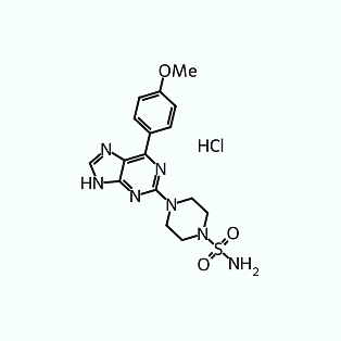 COc1ccc(-c2nc(N3CCN(S(N)(=O)=O)CC3)nc3[nH]cnc23)cc1.Cl